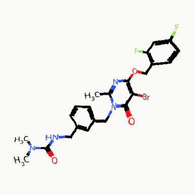 Cc1nc(OCc2ccc(F)cc2F)c(Br)c(=O)n1Cc1cccc(CNC(=O)N(C)C)c1